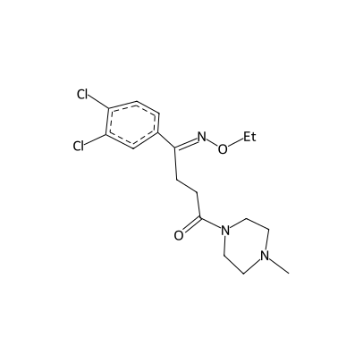 CCON=C(CCC(=O)N1CCN(C)CC1)c1ccc(Cl)c(Cl)c1